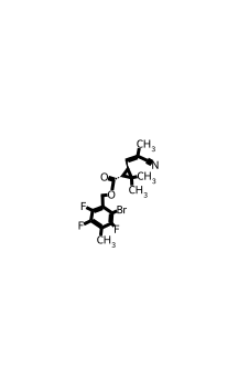 CC(C#N)=C[C@@H]1[C@@H](C(=O)OCc2c(F)c(F)c(C)c(F)c2Br)C1(C)C